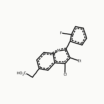 CCc1c(-c2ccccc2F)nc2ccc(CC(=O)O)cc2c1Cl